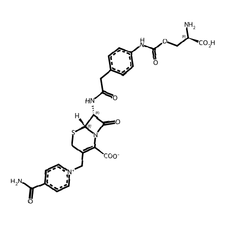 NC(=O)c1cc[n+](CC2=C(C(=O)[O-])N3C(=O)[C@@H](NC(=O)Cc4ccc(NC(=O)OC[C@@H](N)C(=O)O)cc4)[C@H]3SC2)cc1